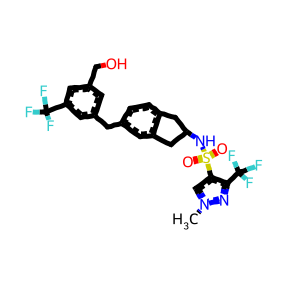 Cn1cc(S(=O)(=O)NC2Cc3ccc(Cc4cc(CO)cc(C(F)(F)F)c4)cc3C2)c(C(F)(F)F)n1